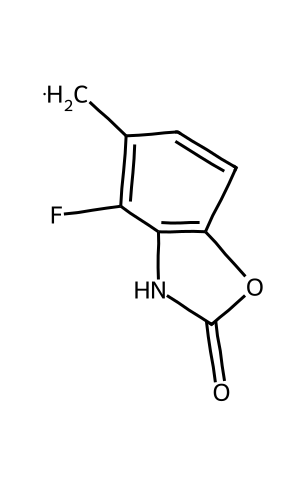 [CH2]c1ccc2oc(=O)[nH]c2c1F